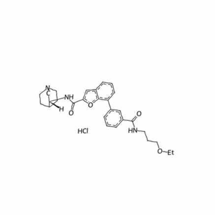 CCOCCCNC(=O)c1cccc(-c2cccc3cc(C(=O)N[C@H]4CN5CCC4CC5)oc23)c1.Cl